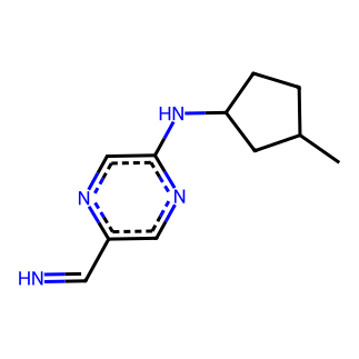 CC1CCC(Nc2cnc(C=N)cn2)C1